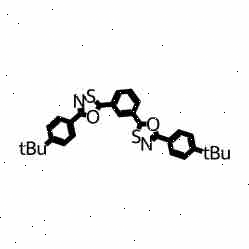 CC(C)(C)c1ccc(C2=NSC(c3cccc(C4OC(c5ccc(C(C)(C)C)cc5)=NS4)c3)O2)cc1